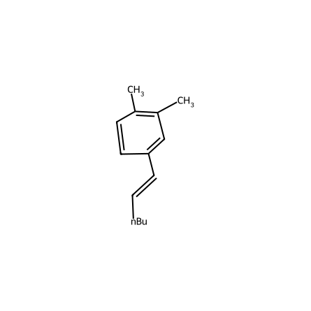 CCCCC=Cc1ccc(C)c(C)c1